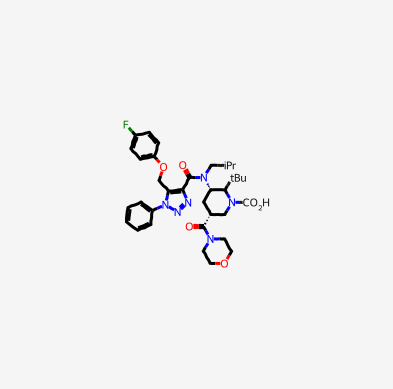 CC(C)CN(C(=O)c1nnn(-c2ccccc2)c1COc1ccc(F)cc1)[C@H]1C[C@@H](C(=O)N2CCOCC2)CN(C(=O)O)C1C(C)(C)C